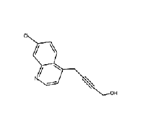 OCC#CCc1ccnc2cc(Cl)ccc12